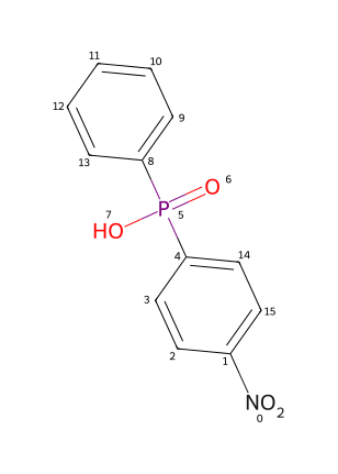 O=[N+]([O-])c1ccc(P(=O)(O)c2ccccc2)cc1